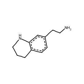 NCCc1ccc2c(c1)NCCC2